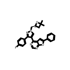 CC1(C)C[C@@H](Cn2cc(-c3ncnc4oc(-c5ccccc5)cc34)c(-c3ccc(F)cc3)n2)O1